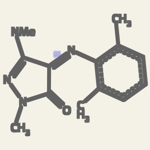 CNC1=NN(C)C(=O)/C1=N\c1c(C)cccc1C